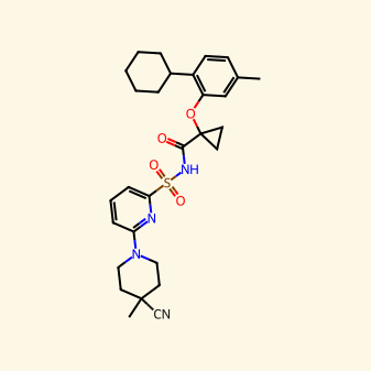 Cc1ccc(C2CCCCC2)c(OC2(C(=O)NS(=O)(=O)c3cccc(N4CCC(C)(C#N)CC4)n3)CC2)c1